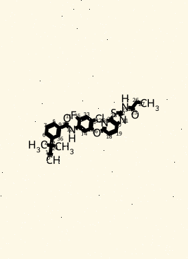 C#CC(C)(C)c1cccc(C(=O)Nc2cc(Oc3ccc4nc(NC(=O)CC)sc4n3)c(Cl)cc2F)c1